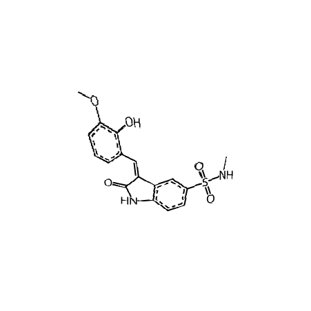 CNS(=O)(=O)c1ccc2c(c1)C(=Cc1cccc(OC)c1O)C(=O)N2